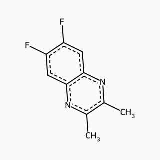 Cc1nc2cc(F)c(F)cc2nc1C